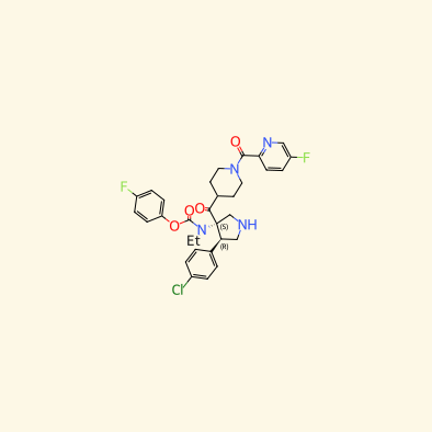 CCN(C(=O)Oc1ccc(F)cc1)[C@]1(C(=O)C2CCN(C(=O)c3ccc(F)cn3)CC2)CNC[C@H]1c1ccc(Cl)cc1